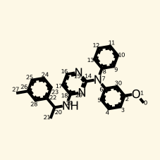 COc1cccc(N(c2ccccc2)c2nccc(NC(C)c3cccc(C)c3)n2)c1